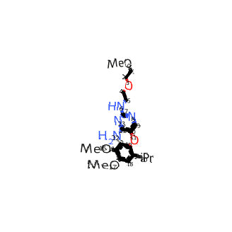 COCCOCCNc1ncc(Oc2cc(OC)c(OC)cc2C(C)C)c(N)n1